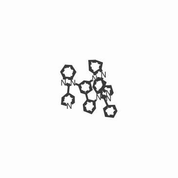 c1ccc(-c2nc3ccccc3n2-c2ccccc2-c2cc(-n3c(-c4ccncc4)nc4ccccc43)cc(-n3c(-c4ccncc4)nc4ccccc43)c2)cc1